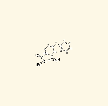 CC(C)(C)OC(=O)N1CCC(Cc2ccccc2)CC1C(=O)O